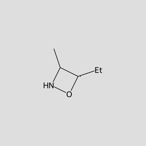 CC[C]1ONC1C